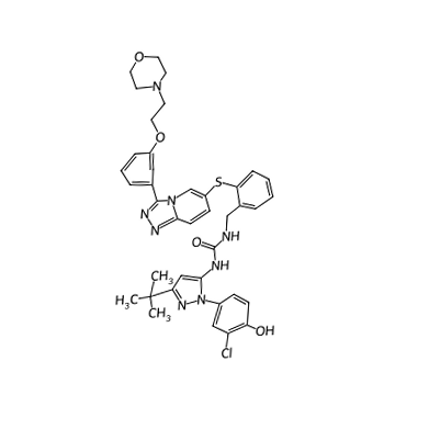 CC(C)(C)c1cc(NC(=O)NCc2ccccc2Sc2ccc3nnc(-c4cccc(OCCN5CCOCC5)c4)n3c2)n(-c2ccc(O)c(Cl)c2)n1